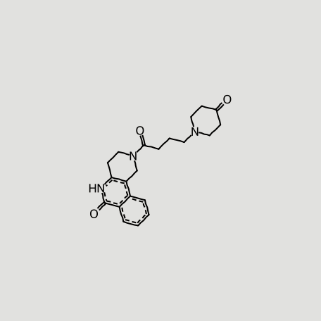 O=C1CCN(CCCC(=O)N2CCc3[nH]c(=O)c4ccccc4c3C2)CC1